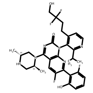 CC(C)c1nccc(CCC(F)(F)CO)c1-n1c(=O)nc(N2C[C@@H](C)NC[C@@H]2C)c2cc(F)c(-c3c(O)cccc3F)nc21